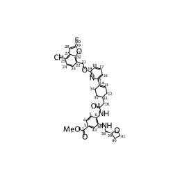 COC(=O)c1ccc(NC(=O)CC2CC=C(c3cccc(OCc4ccc(Cl)c5cc(F)oc45)n3)CC2)c(NC[C@@H]2CCO2)c1